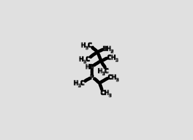 BC(C)(C)C(C)(C)BP(C)C(C)C